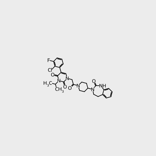 CC(C)n1c(=O)c(-c2cccc(F)c2Cl)cn(CC(=O)N2CCC(N3CCc4ccccc4NC3=O)CC2)c1=O